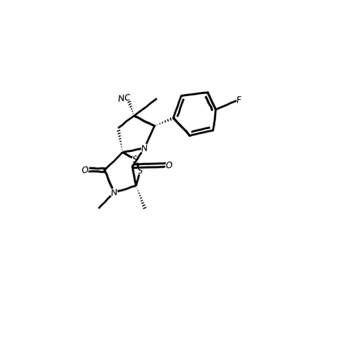 CN1C(=O)[C@@]23C[C@](C)(C#N)[C@H](c4ccc(F)cc4)N2C(=O)[C@@]1(C)SS3